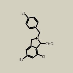 CCc1ccc(CN2Cc3cc(CC)cc(Cl)c3C2C=O)cc1